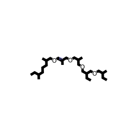 CCC(C)CCCC(C)CO/C=C(\C)COCC(C)COCC(CC)COCC(C)CC